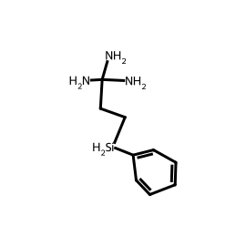 NC(N)(N)CC[SiH2]c1ccccc1